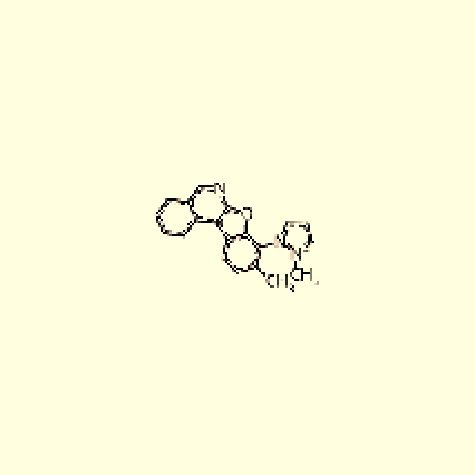 Cc1ccc2c(oc3ncc4ccccc4c32)c1-n1ccc[n+]1C